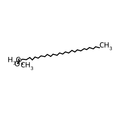 CCCCCCCCCCCCCCCCCCCCCCCCCCCP(C)(C)=O